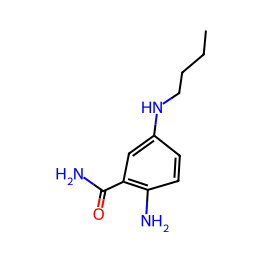 CCCCNc1ccc(N)c(C(N)=O)c1